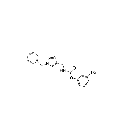 CC(C)(C)c1cccc(OC(=O)NCc2cn(Cc3ccccc3)nn2)c1